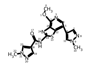 COc1ncc(-c2cnn(C)c2)c2sc(NC(=O)c3cnn(C)c3)nc12